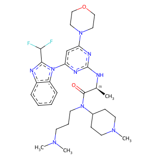 C[C@H](Nc1nc(N2CCOCC2)cc(-n2c(C(F)F)nc3ccccc32)n1)C(=O)N(CCCN(C)C)C1CCN(C)CC1